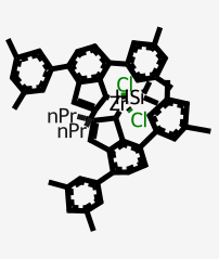 CCCC1=Cc2c(-c3cc(C)cc(C)c3)ccc(-c3cc(C)cc(C)c3)c2[CH]1[Zr]([Cl])([Cl])([CH]1C(CCC)=Cc2c(-c3cc(C)cc(C)c3)ccc(-c3cc(C)cc(C)c3)c21)[SiH](C)C